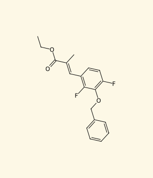 CCOC(=O)/C(C)=C/c1ccc(F)c(OCc2ccccc2)c1F